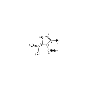 COc1c(Br)csc1C(=O)Cl